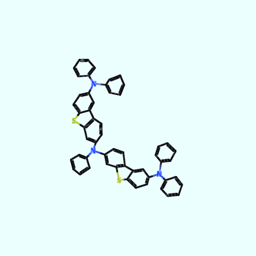 c1ccc(N(c2ccc3c(c2)sc2ccc(N(c4ccccc4)c4ccccc4)cc23)c2ccc3c(c2)sc2ccc(N(c4ccccc4)c4ccccc4)cc23)cc1